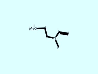 C=CN(C)CCOC